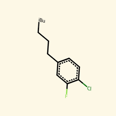 CCC(C)CCCc1ccc(Cl)c(F)c1